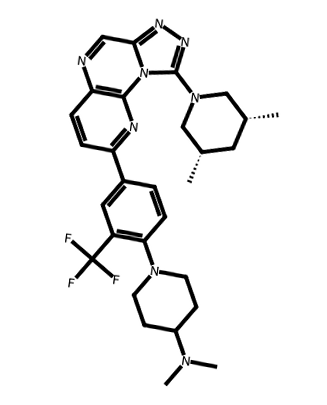 C[C@@H]1C[C@H](C)CN(c2nnc3cnc4ccc(-c5ccc(N6CCC(N(C)C)CC6)c(C(F)(F)F)c5)nc4n23)C1